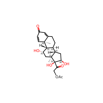 CC(=O)OCC(=O)[C@@]1(O)[C@H](O)C[C@H]2[C@@H]3CCC4=CC(=O)C=C[C@]4(C)[C@H]3[C@@H](O)C[C@@]21C